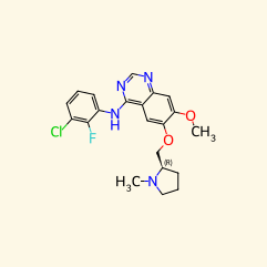 COc1cc2ncnc(Nc3cccc(Cl)c3F)c2cc1OC[C@H]1CCCN1C